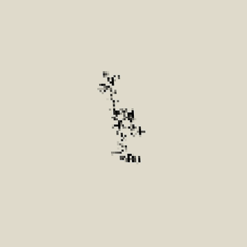 CCCC[C@@H](C)/C=C/C=C/[C@@H]1[C@H]2CC(CCCCC(=O)N(C)C)=C[C@H]2C[C@H]1O